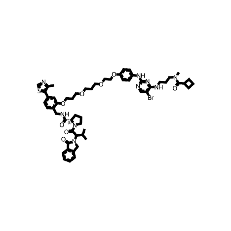 Cc1ncsc1-c1ccc(CNC(=O)[C@@H]2CCCN2C(=O)C(C(C)C)N2Cc3ccccc3C2=O)c(OCCCOCCCOCCOc2ccc(Nc3ncc(Br)c(NCCCN(C)C(=O)C4CCC4)n3)cc2)c1